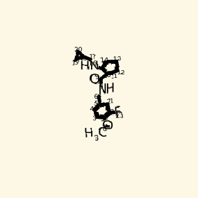 COc1ccc(CNC(=O)c2ccccc2NCC2CC2)cc1F